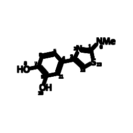 CNc1nc(-c2ccc(O)c(O)c2)cs1